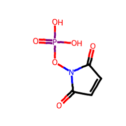 O=C1C=CC(=O)N1OP(=O)(O)O